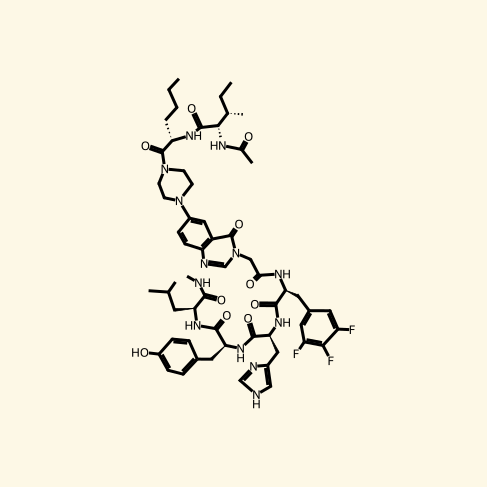 CCCC[C@H](NC(=O)[C@@H](NC(C)=O)[C@@H](C)CC)C(=O)N1CCN(c2ccc3ncn(CC(=O)N[C@@H](Cc4cc(F)c(F)c(F)c4)C(=O)N[C@@H](Cc4c[nH]cn4)C(=O)N[C@@H](Cc4ccc(O)cc4)C(=O)N[C@@H](CC(C)C)C(=O)NC)c(=O)c3c2)CC1